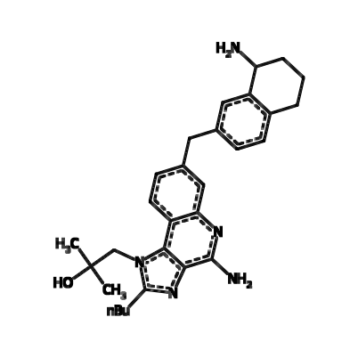 CCCCc1nc2c(N)nc3cc(Cc4ccc5c(c4)C(N)CCC5)ccc3c2n1CC(C)(C)O